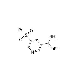 CCCC(N)c1cncc(S(=O)(=O)C(C)C)c1